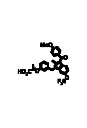 COc1ccc(C(=O)c2c(C)n(Cc3cccc(O[C@H](C)C(=O)O)c3)c3cc(OC(F)(F)F)ccc23)cc1